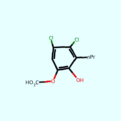 CCCc1c(O)c(OC(=O)O)cc(Cl)c1Cl